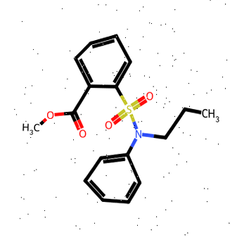 CCCN(c1ccccc1)S(=O)(=O)c1ccccc1C(=O)OC